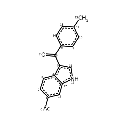 CC(=O)c1ccc2c(C(=O)c3ccc(C)cc3)c[nH]c2c1